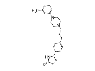 Cc1cccc(N2CCN(CCCc3ccc(C4CCC(=O)N4)cc3)CC2)c1